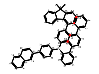 CC1(C)c2ccccc2-c2c(-c3ccc(N(c4ccc(-c5ccc6ccccc6c5)cc4)c4ccccc4-c4ccc(-c5ccccc5)cc4)cc3)cccc21